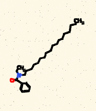 CCCCCCCCCCCCCCCCCCN(CC)C(=O)c1[c]cccc1